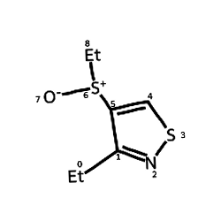 CCc1nscc1[S+]([O-])CC